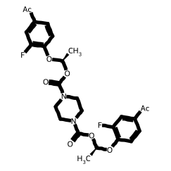 CC(=O)c1ccc(O[C@@H](C)OC(=O)N2CCN(C(=O)O[C@H](C)Oc3ccc(C(C)=O)cc3F)CC2)c(F)c1